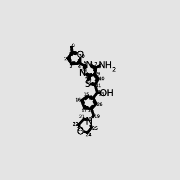 Cc1ccc(-c2nc(N)c3cc(C(O)c4cccc(CN5CCOCC5)c4)sc3n2)o1